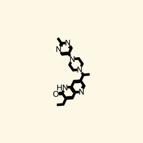 CCc1cc2ncc(C(C)N3CCN(c4cnc(C)nc4)CC3)cc2[nH]c1=O